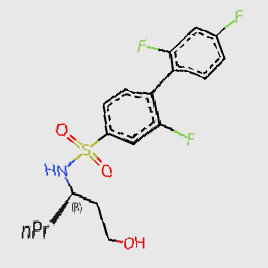 CCC[C@H](CCO)NS(=O)(=O)c1ccc(-c2ccc(F)cc2F)c(F)c1